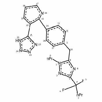 CCCn1nc(C(F)(F)CCC)nc1Cc1ccc(-c2ncccc2-c2nnn[nH]2)cc1